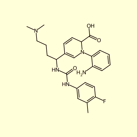 Cc1cc(NC(=O)NC(CCCN(C)C)C2=CN(c3ccccc3N)C(C(=O)O)C=C2)ccc1F